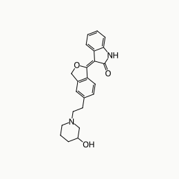 O=C1Nc2ccccc2C1=C1OCc2cc(CCN3CCCC(O)C3)ccc21